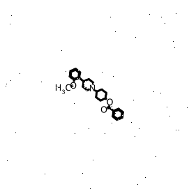 COc1ccccc1C1CCN(C2CCC(OC(=O)c3ccccc3)CC2)CC1